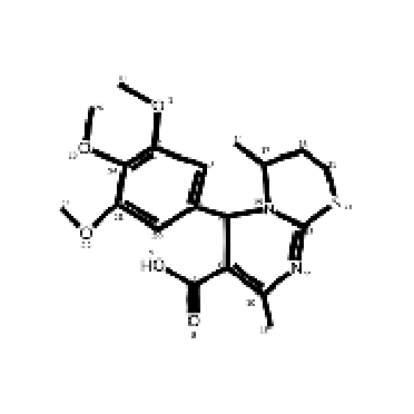 COc1cc(C2C(C(=O)O)=C(C)N=C3SCCC(C)N32)cc(OC)c1OC